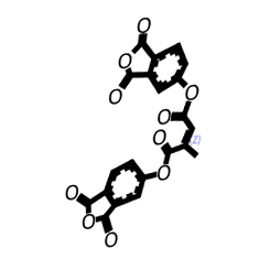 C/C(=C/C(=O)Oc1ccc2c(c1)C(=O)OC2=O)C(=O)Oc1ccc2c(c1)C(=O)OC2=O